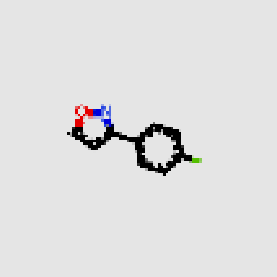 Fc1ccc(-c2c[c]on2)cc1